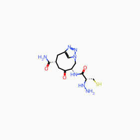 NN[C@@H](CS)C(=O)N[C@H]1Cn2cc(nn2)C[C@@H](C(N)=O)CC1=O